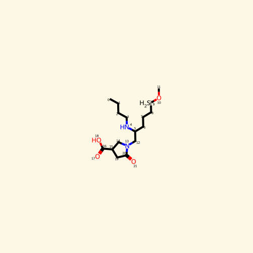 CCCCNC(CCC[SiH2]OC)CN1CC(C(=O)O)CC1=O